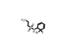 CCCS(=O)(=O)NC1C=CC=CC1(F)Br